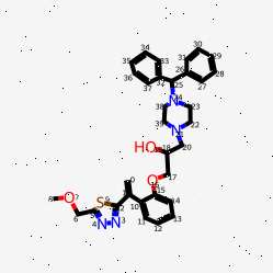 C=C(c1nnc(COC)s1)c1ccccc1OCC(O)CN1CCN(C(c2ccccc2)c2ccccc2)CC1